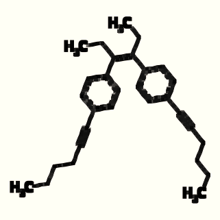 CCCCC#Cc1ccc(C(CC)=C(CC)c2ccc(C#CCCCC)cc2)cc1